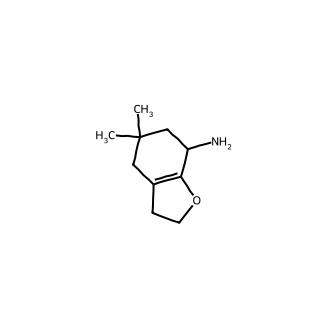 CC1(C)CC2=C(OCC2)C(N)C1